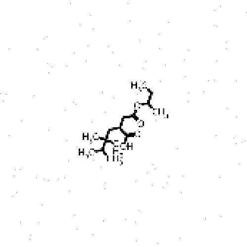 CCC(C)OC(=O)CC(CC(C)(C)C(C)C)C(=O)O